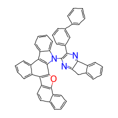 c1ccc(-c2cccc(-c3nc4c(nc3-n3c5ccccc5c5c6ccccc6c6c7ccc8ccccc8c7oc6c53)Cc3ccccc3-4)c2)cc1